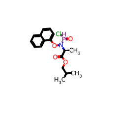 CC(C)COC(=O)[C@H](C)N(Oc1cccc2ccccc12)[PH](=O)Cl